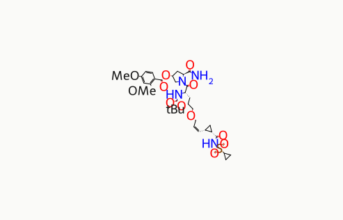 COc1ccc(C(=O)O[C@@H]2C[C@@H](C(N)=O)N(C(=O)[C@H](CCCOC/C=C\[C@@H]3C[C@@H]3C(=O)NS(=O)(=O)C3CC3)NC(=O)OC(C)(C)C)C2)c(OC)c1